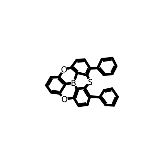 c1ccc(-c2ccc3c4c2Sc2c(-c5ccccc5)ccc5c2B4c2c(cccc2O5)O3)cc1